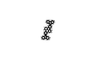 c1ccc(-c2ccccc2-c2ccc(-n3c4ccccc4c4ccccc43)cc2)c(-c2ccc(-n3c4ccccc4c4ccccc43)cc2)c1